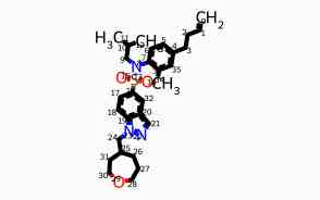 C=CCCc1ccc(N(CC(C)C)S(=O)(=O)c2ccc3c(cnn3CC3CCCOCC3)c2)c(C)c1